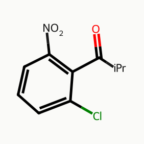 CC(C)C(=O)c1c(Cl)cccc1[N+](=O)[O-]